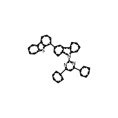 c1ccc(-c2cc(-c3ccccc3)nc(-n3c4ccccc4c4cc(-c5cccc6c5sc5ccccc56)ccc43)n2)cc1